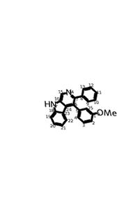 COc1cccc(-c2c(-c3ccccc3)ncc3[nH]c4ccccc4c23)c1